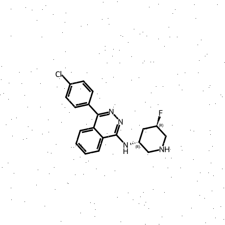 F[C@H]1CNC[C@H](Nc2nnc(-c3ccc(Cl)cc3)c3ccccc23)C1